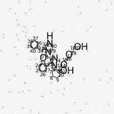 O=C(c1ncn([C@H]2CCCC[C@]2(O)COCCOCCO)c1-c1ccccc1)N1CCNC[C@H]1Cc1ccccc1